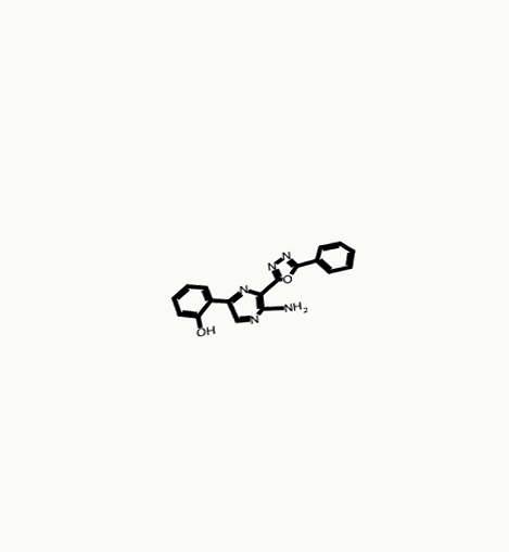 Nc1ncc(-c2ccccc2O)nc1-c1nnc(-c2ccccc2)o1